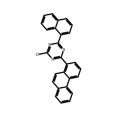 Clc1nc(-c2cccc3ccccc23)nc(-c2cccc3c2ccc2ccccc23)n1